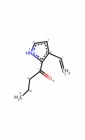 C=Cc1cc[nH]c1C(=O)CCC